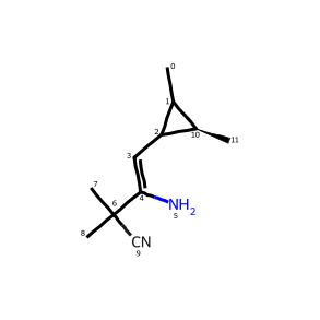 CC1C(/C=C(\N)C(C)(C)C#N)[C@@H]1C